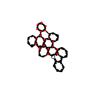 c1ccc(-c2ccccc2-c2c(-c3ccccc3)cccc2-c2ccccc2N(c2ccc(-c3cccc4c3oc3ccccc34)cc2)c2ccccc2-c2ccccc2)cc1